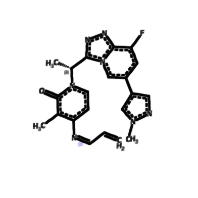 C=C/C=N\c1ccn([C@H](C)c2nnc3c(F)cc(-c4cnn(C)c4)cn23)c(=O)c1C